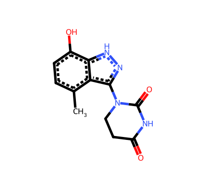 Cc1ccc(O)c2[nH]nc(N3CCC(=O)NC3=O)c12